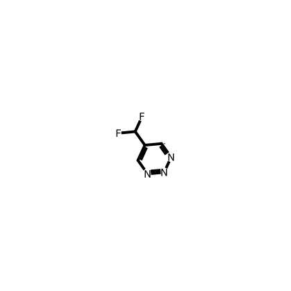 FC(F)c1[c]nnnc1